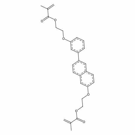 C=C(C)C(=O)OCCOc1cccc(-c2ccc3cc(OCCOC(=O)C(=C)C)ccc3c2)c1